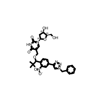 CC(C)(C)C(OCc1cn([C@H]2C[C@@H](O)[C@@H](CO)O2)c(=O)[nH]c1=O)c1ccc(-c2cn(Cc3ccccc3)nn2)cc1[N+](=O)[O-]